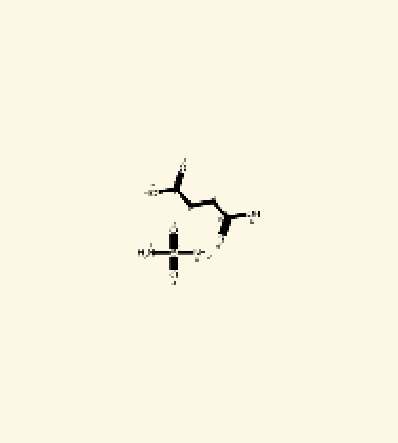 NS(N)(=O)=O.O=C(O)CCC(=O)O